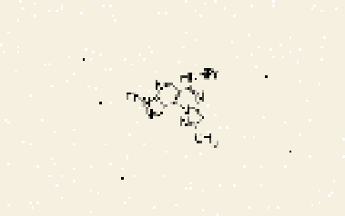 CCn1ncc2c1ncc1c(NC(C)C)nc3cc(C)nn3c12